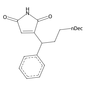 CCCCCCCCCCCCC(C1=CC(=O)NC1=O)c1ccccc1